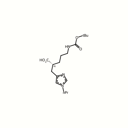 CCCn1cnc(C[C@@H](CCCNC(=O)OC(C)(C)C)C(=O)O)c1